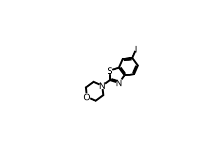 Ic1ccc2nc(N3CCOCC3)sc2c1